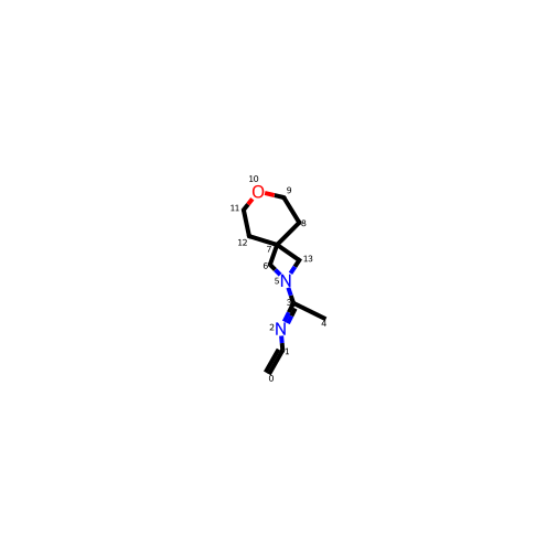 C=C/N=C(\C)N1CC2(CCOCC2)C1